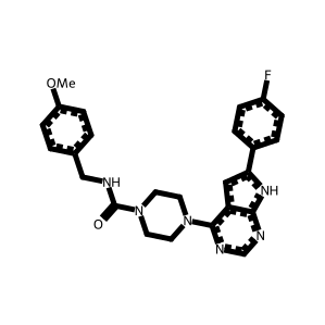 COc1ccc(CNC(=O)N2CCN(c3ncnc4[nH]c(-c5ccc(F)cc5)cc34)CC2)cc1